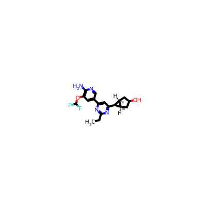 CCc1nc(-c2cnc(N)c(OC(F)F)c2)cc(C2[C@H]3CC(O)C[C@@H]23)n1